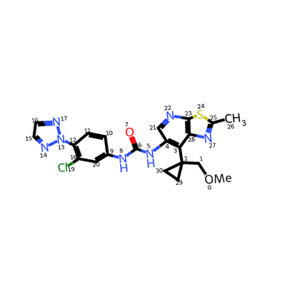 COCC1(c2c(NC(=O)Nc3ccc(-n4nccn4)c(Cl)c3)cnc3sc(C)nc23)CC1